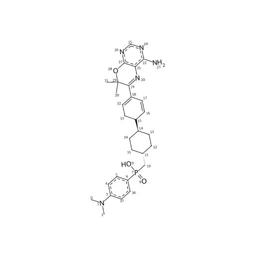 CN(C)c1ccc(P(=O)(O)C[C@H]2CC[C@H](C3C=CC(C4=Nc5c(N)ncnc5OC4(C)C)=CC3)CC2)cc1